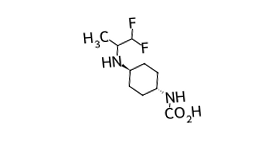 CC(N[C@H]1CC[C@H](NC(=O)O)CC1)C(F)F